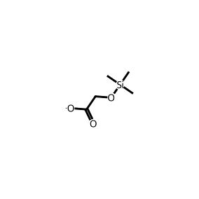 C[Si](C)(C)OCC([O])=O